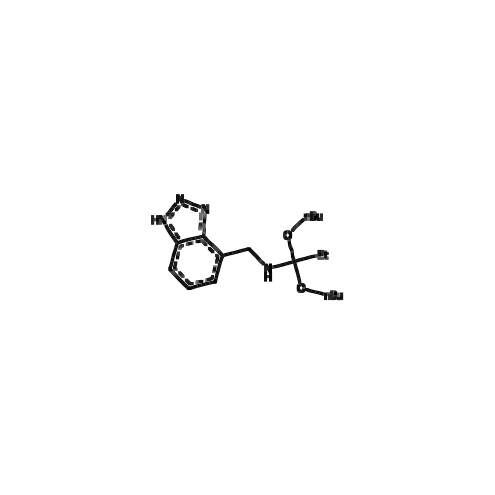 CCCCOC(CC)(NCc1cccc2[nH]nnc12)OCCCC